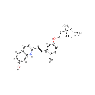 CC(C)(CCOc1cccc(C=Cc2ccc3ccc(Br)cc3n2)c1)CC(=O)O.[Na]